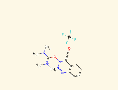 CN(C)C(ON1N=Nc2ccccc2C1=C=O)=[N+](C)C.F[B-](F)(F)F